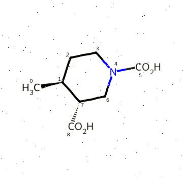 C[C@H]1CCN(C(=O)O)C[C@@H]1C(=O)O